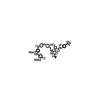 CNc1nc(Nc2ccc(C(=O)N3CCN(CC4CCC(CSC(C)(C)C(NC(=O)C5(F)CC5)C(=O)N5C[C@H](O)C[C@H]5C(=O)NCc5ccc(-c6scnc6C)cc5F)CC4)CC3)cc2OC)ncc1Cl